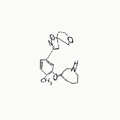 Cc1ccc(C2=NOC3(CCOC3)C2)cc1OC1CCCNC1